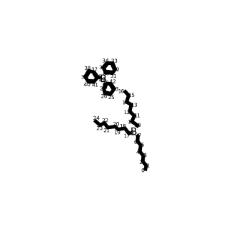 CCCCCCCCB(CCCCCCCC)CCCCCCCC.c1ccc(B(c2ccccc2)c2ccccc2)cc1